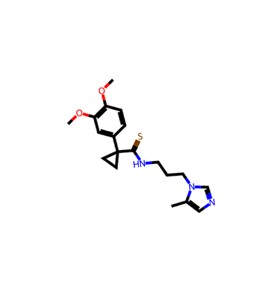 COc1ccc(C2(C(=S)NCCCn3cncc3C)CC2)cc1OC